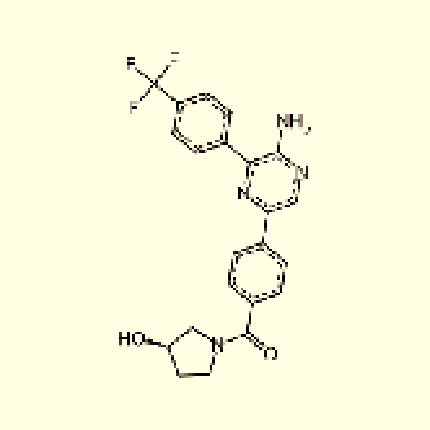 Nc1ncc(-c2ccc(C(=O)N3CC[C@@H](O)C3)cc2)nc1-c1ccc(C(F)(F)F)cc1